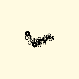 COc1ccccc1CCNC(=O)c1cccc(S(=O)(=O)NC(=O)c2ccc(C(=O)OC(C)C)nc2)c1